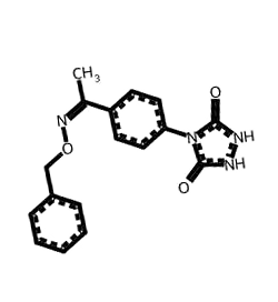 C/C(=N/OCc1ccccc1)c1ccc(-n2c(=O)[nH][nH]c2=O)cc1